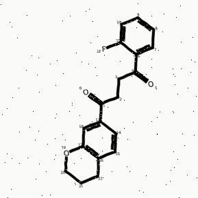 O=C(CCC(=O)c1ccccc1F)c1ccc2c(c1)OCCC2